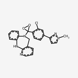 Cn1ccc(-c2ccc(C3(N4Cc5cccnc5Nc5ccccc54)OO3)c(Cl)c2)n1